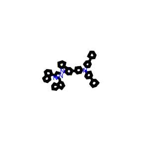 c1ccc(-c2ccc(N(c3ccc(-c4ccccc4)cc3)c3ccc(-c4ccc5c(c4)c4ccccc4n5-c4cc(-c5cccc6ccccc56)nc(-c5cccc6ccccc56)n4)cc3)cc2)cc1